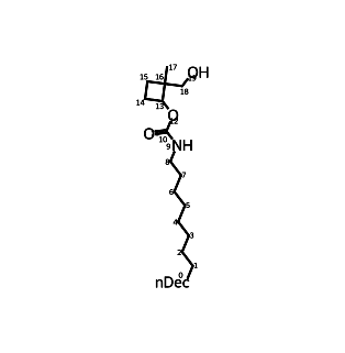 CCCCCCCCCCCCCCCCCCNC(=O)OC1CCC1(C)CO